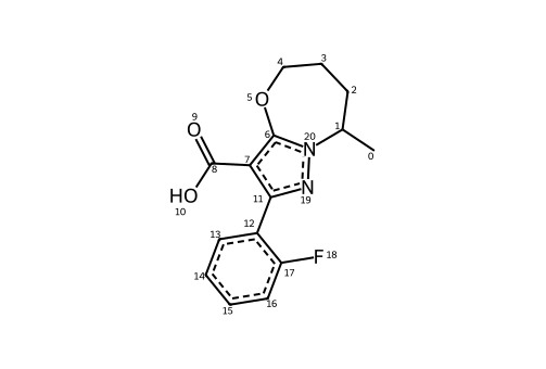 CC1CCCOc2c(C(=O)O)c(-c3ccccc3F)nn21